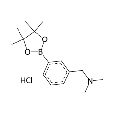 CN(C)Cc1cccc(B2OC(C)(C)C(C)(C)O2)c1.Cl